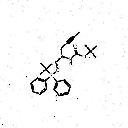 CC#CC[C@H](CO[Si](c1ccccc1)(c1ccccc1)C(C)(C)C)NC(=O)OC(C)(C)C